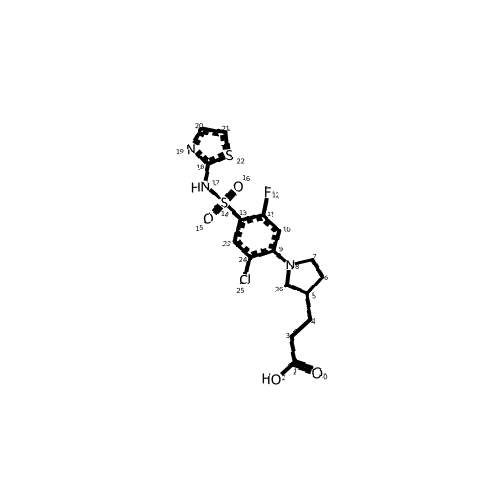 O=C(O)CCC1CCN(c2cc(F)c(S(=O)(=O)Nc3nccs3)cc2Cl)C1